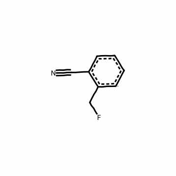 N#Cc1ccc[c]c1CF